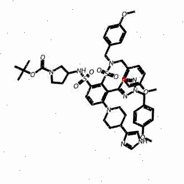 COc1ccc(CN(Cc2ccc(OC)cc2)S(=O)(=O)c2c(S(=O)(=O)NC3CCN(C(=O)OC(C)(C)C)C3)ccc(N3CCC(c4c[nH]cn4)CC3)c2-c2nnn(Cc3ccc(OC)cc3)n2)cc1